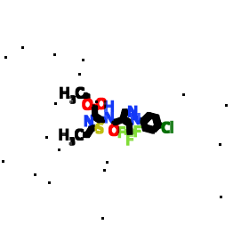 CCOC(=O)c1nc(CC)sc1NC(=O)c1cnn(-c2ccc(Cl)cc2)c1C(F)(F)F